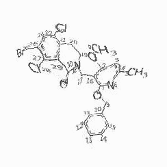 COc1cc(C)nc(OCc2ccccc2)c1CN1CCc2c(Cl)cc(Br)c(Cl)c2C1=O